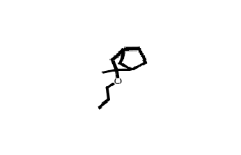 CCCOC1(C)CC2CCC1C2